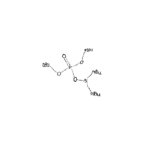 CCCCN(CCCC)OP(=O)(OC(C)(C)C)OC(C)(C)C